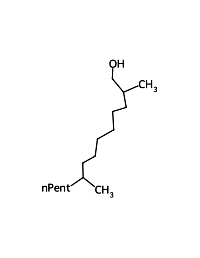 CCCCCC(C)CCCCCCC(C)CO